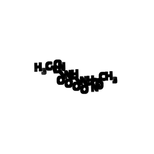 Cc1cc(C(=O)NC(=O)CC(=O)NC(=O)c2cc(C)on2)no1